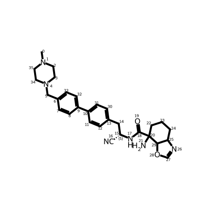 CN1CCN(Cc2ccc(-c3ccc(C[C@@H](C#N)NC(=O)C4(N)CCCC5N=COC54)cc3)cc2)CC1